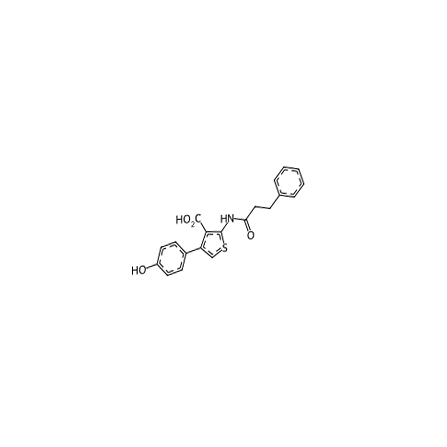 O=C(CCc1ccccc1)Nc1scc(-c2ccc(O)cc2)c1C(=O)O